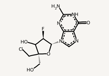 Nc1nc2c(ncn2[C@@H]2O[C@@](CO)(CCl)C(O)[C@H]2F)c(=O)[nH]1